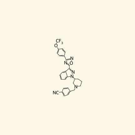 N#Cc1ccc(CN2CCCC(n3nc(-c4nc(-c5ccc(OC(F)(F)F)cc5)no4)c4ccccc43)C2)cc1